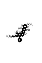 CO/N=C/c1cc2c(-c3ccccc3)c3c(c(O)c2c(=O)[nH]1)C1(CC3)C(=O)c2c(O)c3c(c(O)c2C1=O)C(=O)C(OC)=CC3=O